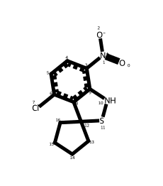 O=[N+]([O-])c1ccc(Cl)c2c1NSC21CCCC1